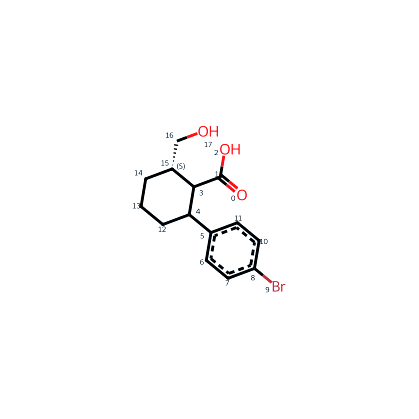 O=C(O)C1C(c2ccc(Br)cc2)CCC[C@@H]1CO